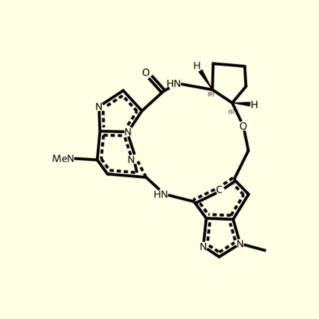 CNc1cc2nn3c(cnc13)C(=O)N[C@@H]1CCC[C@@H]1OCc1cc(c3ncn(C)c3c1)N2